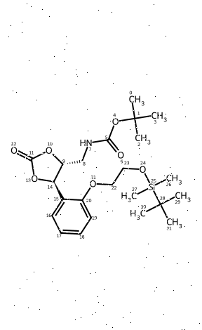 CC(C)(C)OC(=O)NC[C@H]1OC(=O)O[C@@H]1c1ccccc1OCCO[Si](C)(C)C(C)(C)C